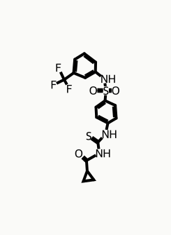 O=C(NC(=S)Nc1ccc(S(=O)(=O)Nc2cccc(C(F)(F)F)c2)cc1)C1CC1